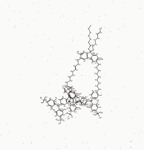 CCCCCCCCC1(CCCCCCCC)c2cc(C)c(SCCCCCCCCc3ccc(N(c4ccc(N(c5c(C)cc(C(C)(C)C)cc5C)c5c(C)cc(C(C)(C)C)cc5C)cc4)c4c(C)cc(C(C)(C)C)cc4C)cc3)cc2-c2cc(SCCCCCCCCc3ccc(N(c4ccc(N(c5c(C)cc(C(C)(C)C)cc5C)c5c(C)cc(C(C)(C)C)cc5C)cc4)c4c(C)cc(C(C)(C)C)cc4C)cc3)c(C)cc21